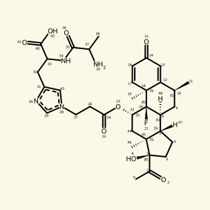 CC(=O)[C@@]1(O)CC[C@H]2[C@@H]3C[C@H](C)C4=CC(=O)C=C[C@]4(C)[C@@]3(F)[C@@H](OC(=O)CCn3cnc(CC(NC(=O)C(C)N)C(=O)O)c3)C[C@@]21C